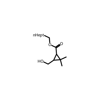 CCCCCCCCOC(=O)C1C(CO)C1(C)C